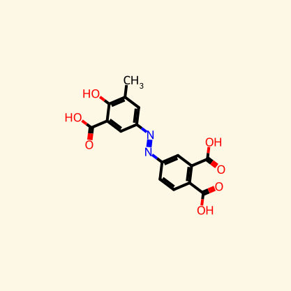 Cc1cc(N=Nc2ccc(C(=O)O)c(C(=O)O)c2)cc(C(=O)O)c1O